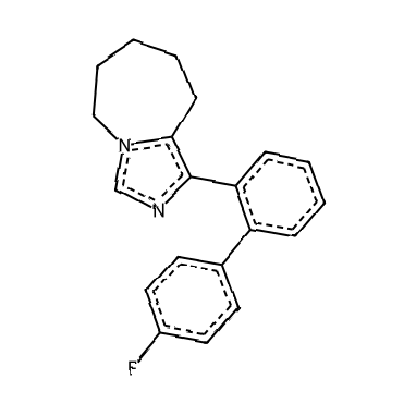 Fc1ccc(-c2ccccc2-c2ncn3c2CCCCC3)cc1